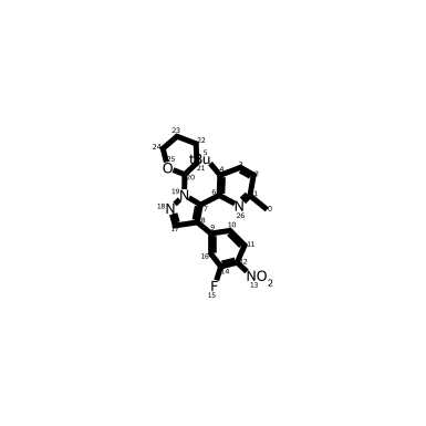 Cc1ccc(C(C)(C)C)c(-c2c(-c3ccc([N+](=O)[O-])c(F)c3)cnn2C2CCCCO2)n1